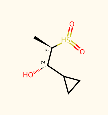 C[C@H]([C@@H](O)C1CC1)[SH](=O)=O